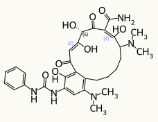 CN(C)c1cc(NC(=O)Nc2ccccc2)c(O)c2c1CCCCC(N(C)C)/C(O)=C(/C(N)=O)C(=O)[C@@H](O)/C(O)=C/C2=O